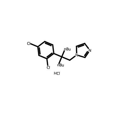 CCCCC(CCCC)(Cn1ccnc1)c1ccc(Cl)cc1Cl.Cl